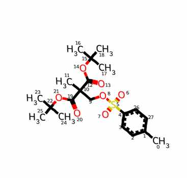 Cc1ccc(S(=O)(=O)OCC(C)(C(=O)OC(C)(C)C)C(=O)OC(C)(C)C)cc1